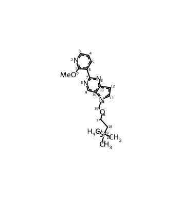 COc1ncccc1-c1ncc2c(ccn2COCC[Si](C)(C)C)n1